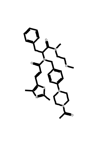 COCCN(C)C(=O)C(Cc1ccccc1)N(Cc1ccc(N2CCN(C(C)=O)CC2)cc1)C(=O)C=Cc1sc(C)nc1C